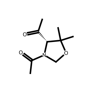 CC(=O)[C@H]1N(C(C)=O)COC1(C)C